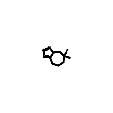 FC1(F)CCCc2nnnn2C1